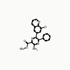 CC(C)(C)OC(=O)c1nc(-c2cc(Cl)c3ncccc3c2)c(-c2ccccc2)nc1N